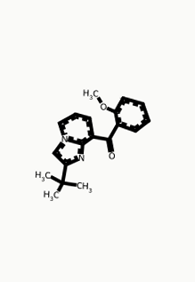 COc1[c]cccc1C(=O)c1cccn2cc(C(C)(C)C)nc12